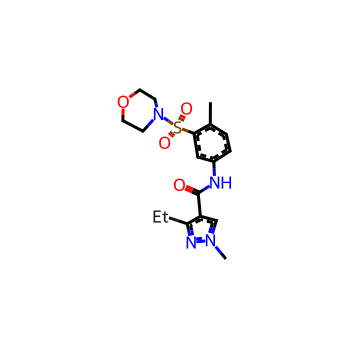 CCc1nn(C)cc1C(=O)Nc1ccc(C)c(S(=O)(=O)N2CCOCC2)c1